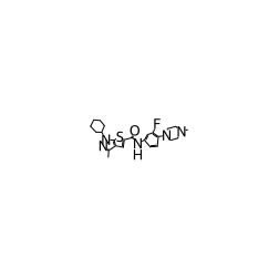 Cc1nn(C2CCCCC2)c2sc(C(=O)Nc3ccc(N4CCN(C)CC4)c(F)c3)cc12